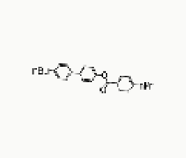 CCCCc1ccc(-c2ccc(OC(=O)c3ccc(CCC)cc3)cc2)cc1